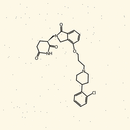 O=C1CC[C@@H](CN2Cc3c(OCCCN4CCC(c5ccccc5Cl)CC4)cccc3C2=O)C(=O)N1